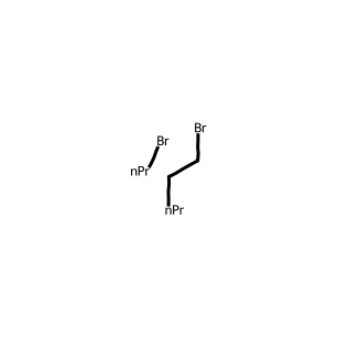 CCCBr.CCCCCBr